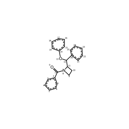 O=C(c1ccccc1)N1CCC1C(Oc1ccccc1)c1ccccc1